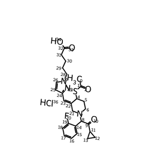 CC(=O)SC1CCN(C(C(=O)C2CC2)c2ccccc2F)CC1=Cc1ccn(CCCCC(=O)O)n1.Cl